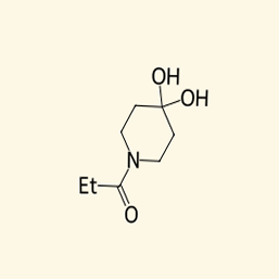 CCC(=O)N1CCC(O)(O)CC1